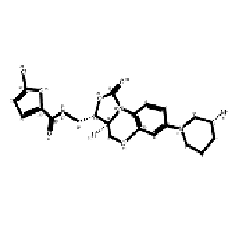 N[C@@H]1CCCN(c2ccc3c(c2)OC[C@H]2[C@H](CNC(=O)c4ccc(Cl)s4)OC(=O)N32)C1